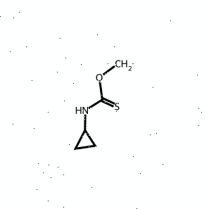 [CH2]OC(=S)NC1CC1